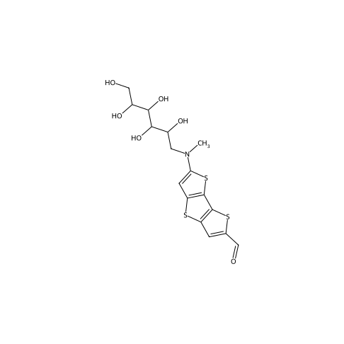 CN(CC(O)C(O)C(O)C(O)CO)c1cc2sc3cc(C=O)sc3c2s1